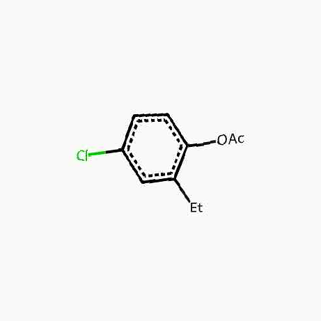 CCc1cc(Cl)ccc1OC(C)=O